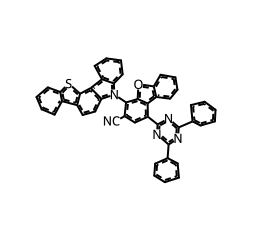 N#Cc1cc(-c2nc(-c3ccccc3)nc(-c3ccccc3)n2)c2c(oc3ccccc32)c1-n1c2ccccc2c2c3sc4ccccc4c3ccc21